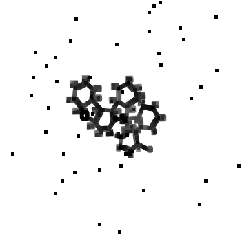 Cc1cccc([Si]2(c3ccccc3)c3ccccc3-c3c2ccc2oc4ccccc4c32)c1